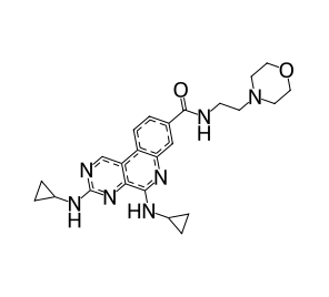 O=C(NCCN1CCOCC1)c1ccc2c(c1)nc(NC1CC1)c1nc(NC3CC3)ncc12